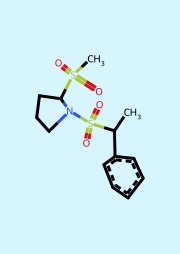 CC(c1ccccc1)S(=O)(=O)N1CCCC1S(C)(=O)=O